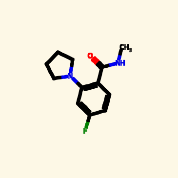 CNC(=O)c1ccc(F)cc1N1CCCC1